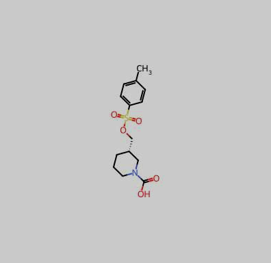 Cc1ccc(S(=O)(=O)OC[C@H]2CCCN(C(=O)O)C2)cc1